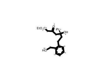 CCOC(=O)CC(=O)C[C@](O)(CCc1ccccc1CO)C(C)C